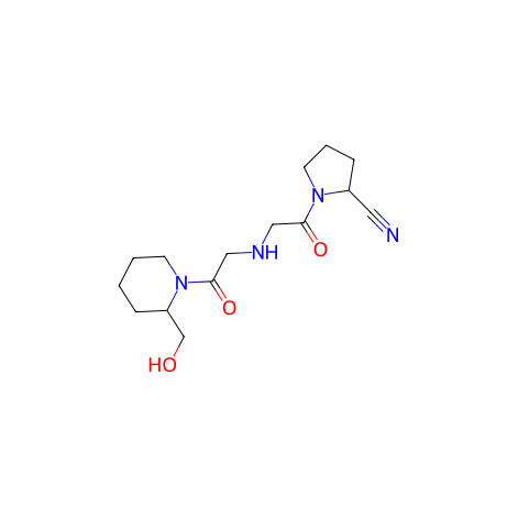 N#CC1CCCN1C(=O)CNCC(=O)N1CCCCC1CO